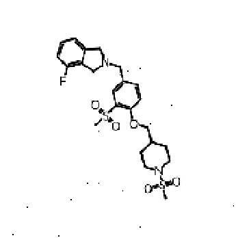 CS(=O)(=O)c1cc(CN2Cc3cccc(F)c3C2)ccc1OCC1CCN(S(C)(=O)=O)CC1